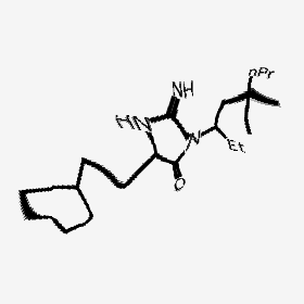 CCCC(C)(C)CC(CC)N1C(=N)NC(CCC2CCCCC2)C1=O